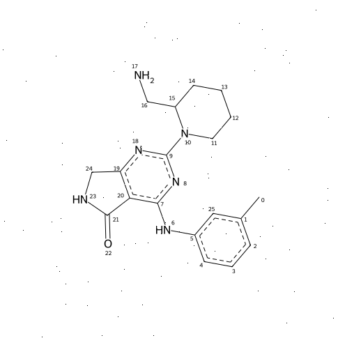 Cc1cccc(Nc2nc(N3CCCCC3CN)nc3c2C(=O)NC3)c1